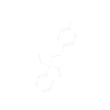 CC(C)[Si](CSc1ccc(O)cc1)(c1ccccc1)C(C)C